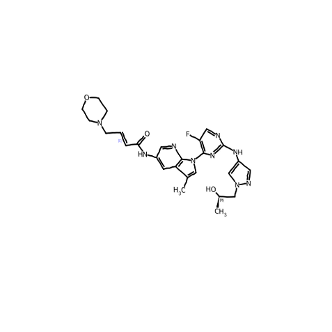 Cc1cn(-c2nc(Nc3cnn(C[C@@H](C)O)c3)ncc2F)c2ncc(NC(=O)/C=C/CN3CCOCC3)cc12